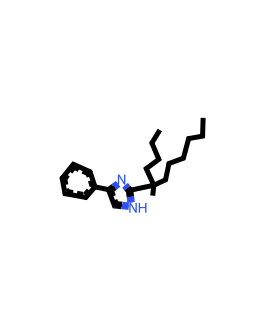 CCCCCCC(C)(CCCC)c1nc(-c2ccccc2)c[nH]1